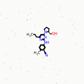 CCCc1cc(N2CCC[C@H]2CO)nc(Nc2ccc(C)c(C#N)c2)n1